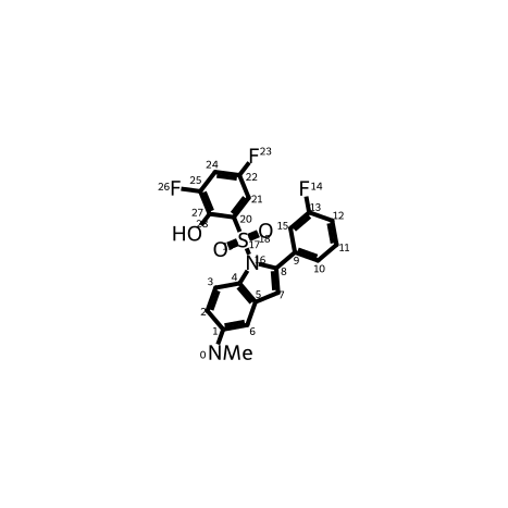 CNc1ccc2c(c1)cc(-c1cccc(F)c1)n2S(=O)(=O)c1cc(F)cc(F)c1O